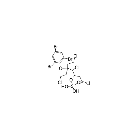 O[Si](O)(O)OC(CCCl)C(Cl)C(CCCl)(CCCl)Oc1c(Br)cc(Br)cc1Br